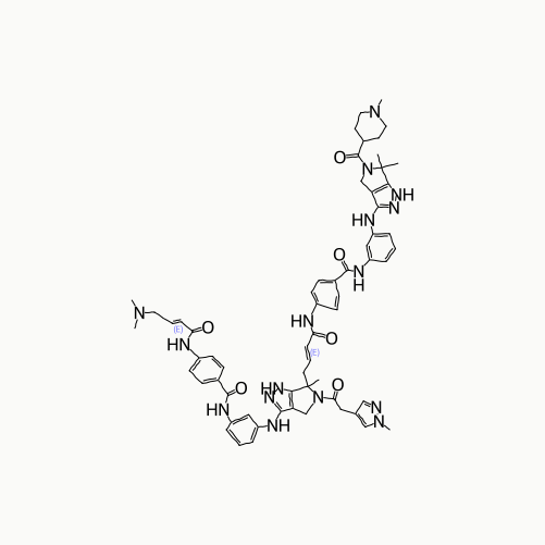 CN(C)C/C=C/C(=O)Nc1ccc(C(=O)Nc2cccc(Nc3n[nH]c4c3CN(C(=O)Cc3cnn(C)c3)C4(C)C/C=C/C(=O)Nc3ccc(C(=O)Nc4cccc(Nc5n[nH]c6c5CN(C(=O)C5CCN(C)CC5)C6(C)C)c4)cc3)c2)cc1